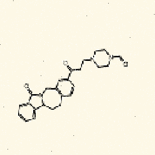 O=CN1CCN(CCC(=O)c2ccc3c(c2)CN2C(=O)c4ccccc4C2CC3)CC1